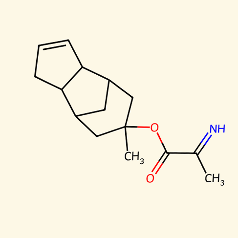 CC(=N)C(=O)OC1(C)CC2CC(C1)C1CC=CC21